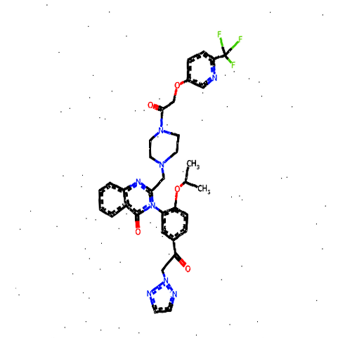 CC(C)Oc1ccc(C(=O)Cn2nccn2)cc1-n1c(CN2CCN(C(=O)COc3ccc(C(F)(F)F)nc3)CC2)nc2ccccc2c1=O